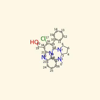 CN(C)C1CCCN1c1c(-c2ccccc2)c(Cl)c(CO)c2nc3ccccc3n12